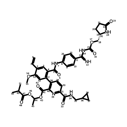 C=Cc1cc(C(=O)Nc2ccc(C(=N)NC(=O)OC[C@@H]3CCC(=O)N3)cc2)c(-c2ccc(C(=O)NCC3CC3)nc2C(=O)OC(C)OC(=O)C(C)C)cc1OC